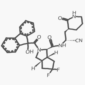 N#C[C@@H](C[C@@H]1CCCNC1=O)NC(=O)[C@H]1[C@@H]2CC(F)(F)C[C@@H]2CN1C(=O)C1(O)c2ccccc2-c2ccccc21